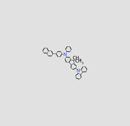 CC1(C)c2cc(N(c3ccccc3)c3ccc(-c4ccc5ccccc5c4)cc3)ccc2-c2ccc(-n3c4ccccc4c4ccccc43)cc21